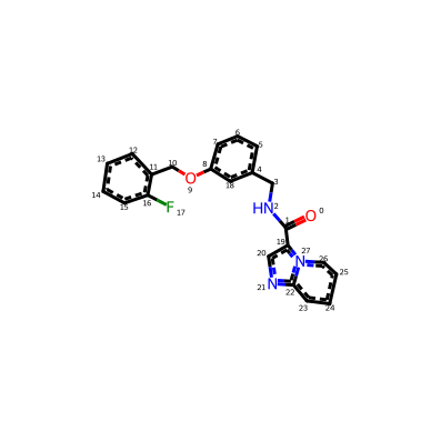 O=C(NCc1cccc(OCc2ccccc2F)c1)c1cnc2ccccn12